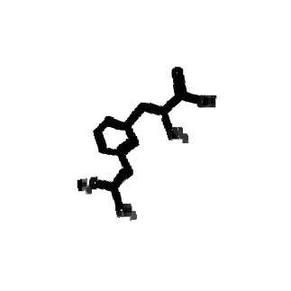 CC(C)Cc1cccc(C[C@H](N)C(=O)O)c1